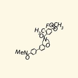 CNC(=O)c1ccc(-c2ccc3c(c2)CN(C(=O)c2ccc(S(C)(=O)=O)c(F)c2C)CCO3)cc1